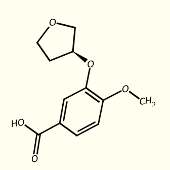 COc1ccc(C(=O)O)cc1O[C@H]1CCOC1